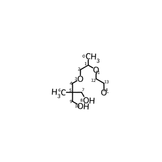 CC(COCC(C)(CO)CO)OCC[O]